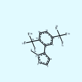 Cn1n[c]cc1-c1cc(C(F)(F)F)ccc1C(F)(F)F